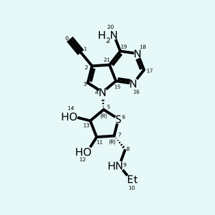 C#Cc1cn([C@@H]2S[C@H](CNCC)C(O)C2O)c2ncnc(N)c12